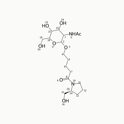 CC(=O)NC1C(OCCCCC(=O)N2CCC[C@H]2CO)OC(CO)C(O)C1O